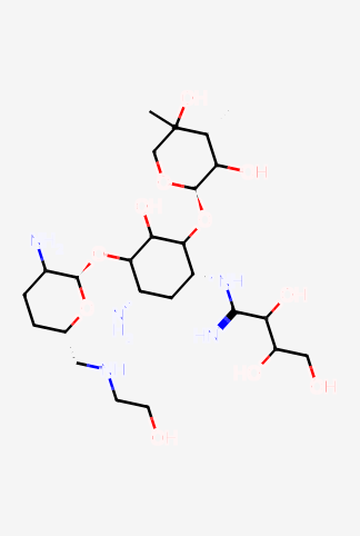 C[C@@H]1C(O)[C@@H](OC2C(O)C(O[C@H]3O[C@H](CNCCO)CCC3N)[C@@H](N)C[C@H]2NC(=N)C(O)C(O)CO)OCC1(C)O